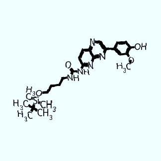 COc1cc(-c2cnc3ccc(NC(=O)NCCCCO[Si](C)(C)C(C)(C)C)nc3n2)ccc1O